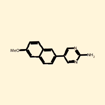 COc1ccc2cc(-c3cnc(N)nc3)ccc2c1